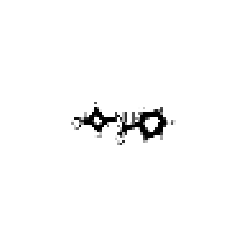 O=C1CC(NC(=O)c2ccccc2)C1